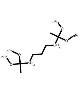 CCCOC(C)(OCCC)[SiH2]CCC[SiH2]C(C)(OCCC)OCCC